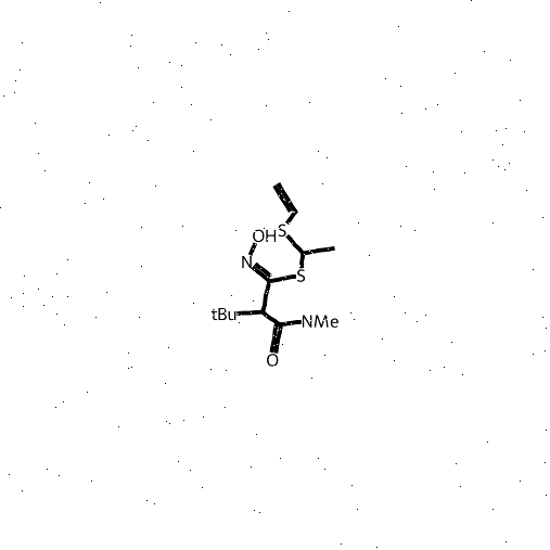 C=CSC(C)SC(=NO)C(C(=O)NC)C(C)(C)C